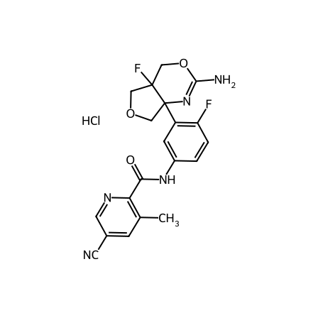 Cc1cc(C#N)cnc1C(=O)Nc1ccc(F)c(C23COCC2(F)COC(N)=N3)c1.Cl